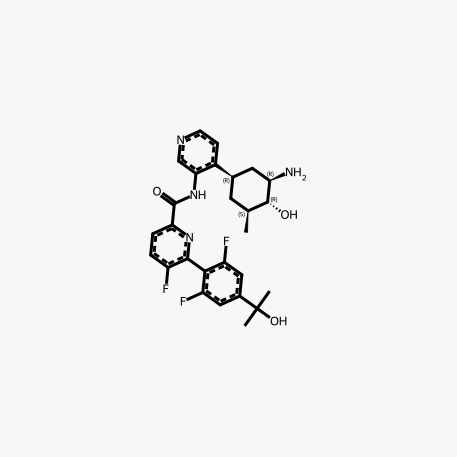 C[C@H]1C[C@@H](c2ccncc2NC(=O)c2ccc(F)c(-c3c(F)cc(C(C)(C)O)cc3F)n2)C[C@@H](N)[C@@H]1O